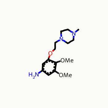 COc1cc(N)cc(OCCN2CCN(C)CC2)c1OC